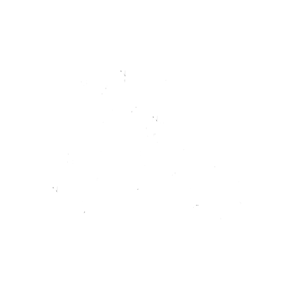 CN(C)S(=O)(=O)c1cccc(S(=O)(=O)C23CC(=O)NC2CCN3C(=O)OCc2ccccc2)c1